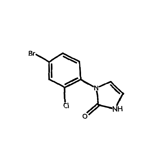 O=c1[nH]ccn1-c1ccc(Br)cc1Cl